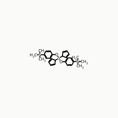 C[Si](C)(C)c1ccc([O][Zr]([O]c2ccc([Si](C)(C)C)cc2)([CH]2C=CC=C2)[CH]2C=CC=C2)cc1